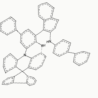 B1c2cccc3c2N(c2ccccc2C32c3ccccc3-c3ccccc32)c2cc(-c3ccccc3)cc(-c3c(Nc4ccc(-c5ccccc5)cc4)ccc4ccccc34)c21